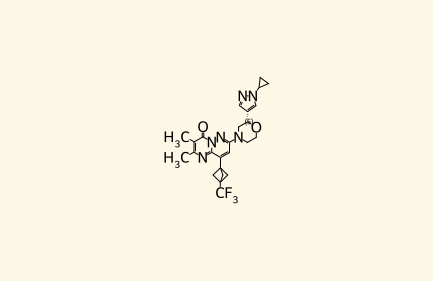 Cc1nc2c(C34CC(C(F)(F)F)(C3)C4)cc(N3CCO[C@@H](c4cnn(C5CC5)c4)C3)nn2c(=O)c1C